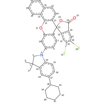 CC1(C)CN(c2ccc3c(c2)Oc2c(ccc4ccccc24)C32OC(=O)c3cc(F)c(F)cc32)c2ccc(C3CCCCC3)cc21